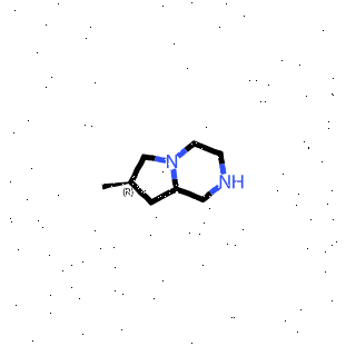 C[C@@H]1CC2CNCCN2C1